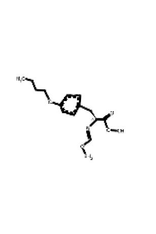 BOC=N[C@@H](Cc1ccc(OCCCC)cc1)C(=O)OC